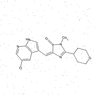 CN1C(=O)C(=Cc2c[nH]c3ncc(Cl)cc23)N=C1C1CCOCC1